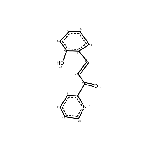 O=C(/C=C/c1ccccc1O)c1ccccn1